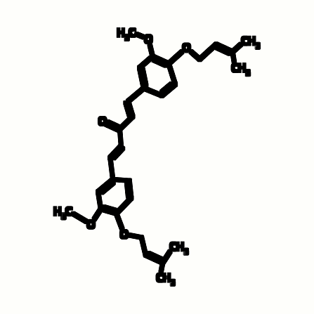 COc1cc(/C=C/C(=O)/C=C/c2ccc(OCC=C(C)C)c(OC)c2)ccc1OCC=C(C)C